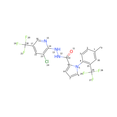 Cc1ccc(-n2cccc2C(=O)NNc2ncc(C(F)(F)F)cc2Cl)c(C(F)(F)F)c1